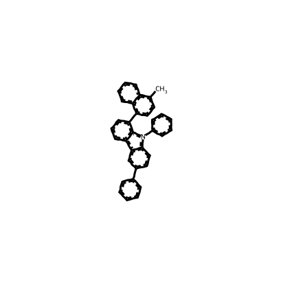 Cc1ccc(-c2cccc3c4cc(-c5ccccc5)ccc4n(-c4ccccc4)c23)c2ccccc12